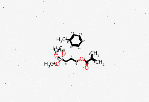 C=C(C)C(=O)OCCC[Si](OC)(OC)OC.Cc1ccccc1